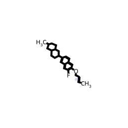 C/C=C/COc1cc2ccc(C3CCC4CC(C)CCC4C3)cc2cc1F